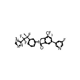 Cn1cnnc1C(F)(F)[C@](C)(F)c1cccc(N2Cc3c(cc(-c4cncc(F)c4)cc3C(F)(F)F)C2=O)c1